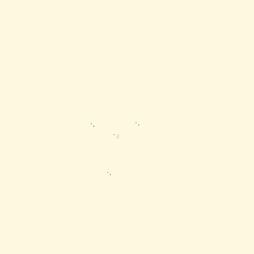 Cc1cc(Nc2ncccc2C#N)nc2ccccc12